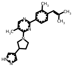 CC(C)=Cc1ccc(-c2ncc(C)c(N3CCC(c4cn[nH]c4)C3)n2)cc1C